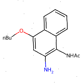 CCCCOc1cc(N)c(NC(C)=O)c2ccccc12